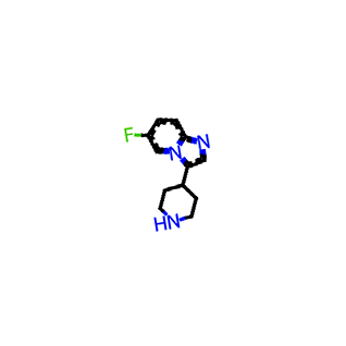 Fc1ccc2ncc(C3CCNCC3)n2c1